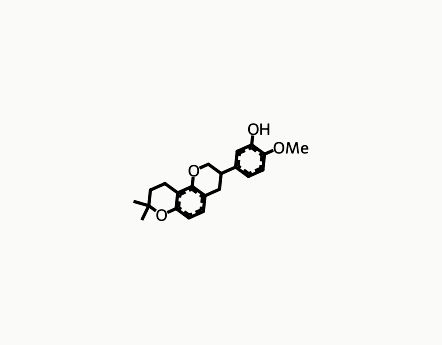 COc1ccc(C2COc3c(ccc4c3CCC(C)(C)O4)C2)cc1O